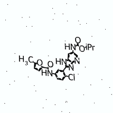 Cc1ccc(C(=O)Nc2ccc(Cl)c(-c3nc4ncc(NC(=O)OC(C)C)cc4[nH]3)c2)o1